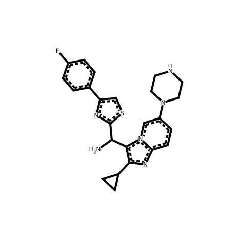 NC(c1nc(-c2ccc(F)cc2)cs1)c1c(C2CC2)nc2ccc(N3CCNCC3)cn12